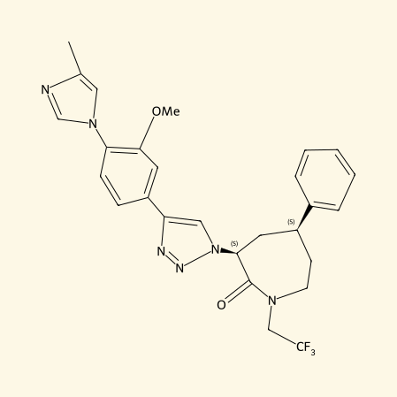 COc1cc(-c2cn([C@H]3C[C@@H](c4ccccc4)CCN(CC(F)(F)F)C3=O)nn2)ccc1-n1cnc(C)c1